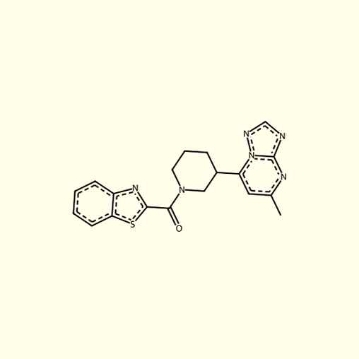 Cc1cc(C2CCCN(C(=O)c3nc4ccccc4s3)C2)n2ncnc2n1